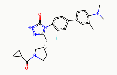 Cc1cc(-c2ccc(-n3c(C[C@@H]4CCN(C(=O)C5CC5)C4)n[nH]c3=O)c(F)c2)ccc1N(C)C